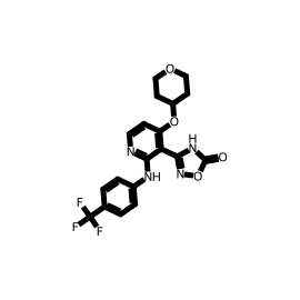 O=c1[nH]c(-c2c(OC3CCOCC3)ccnc2Nc2ccc(C(F)(F)F)cc2)no1